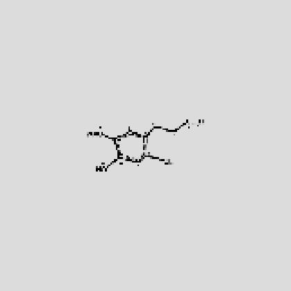 COc1cc(CCC(=O)O)c(Cl)cc1O